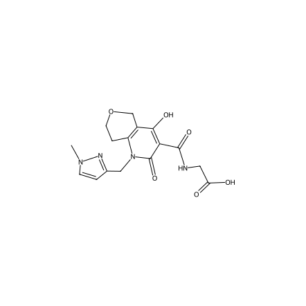 Cn1ccc(Cn2c3c(c(O)c(C(=O)NCC(=O)O)c2=O)COCC3)n1